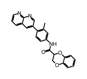 Cc1cc(NC(=O)C2COc3ccccc3O2)ccc1-c1cnc2ncccc2c1